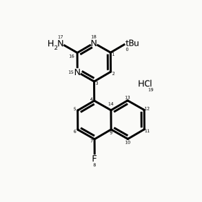 CC(C)(C)c1cc(-c2ccc(F)c3ccccc23)nc(N)n1.Cl